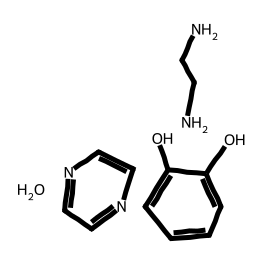 NCCN.O.Oc1ccccc1O.c1cnccn1